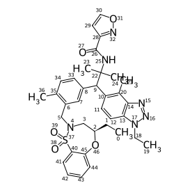 CC[C@@H]1CN(Cc2cc(C(c3ccc4c(nnn4CC)c3C)C(C)(C)NC(=O)c3ccon3)ccc2C)S(=O)(=O)c2ccccc2O1